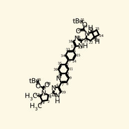 C[C@@H]1C[C@@H](c2nc(-c3ccc4cc(-c5ccc(-c6cnc([C@@H]7C[C@H]8CC[C@H]8N7C(=O)OC(C)(C)C)[nH]6)cc5)ccc4n3)c[nH]2)N(C(=O)OC(C)(C)C)[C@@H]1C